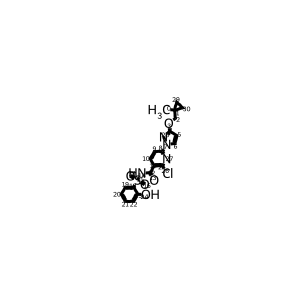 CC1(COc2ccn(-c3ccc(C(=O)NS(=O)(=O)c4ccccc4O)c(Cl)n3)n2)CC1